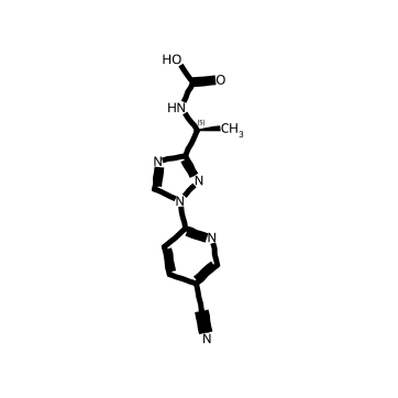 C[C@H](NC(=O)O)c1ncn(-c2ccc(C#N)cn2)n1